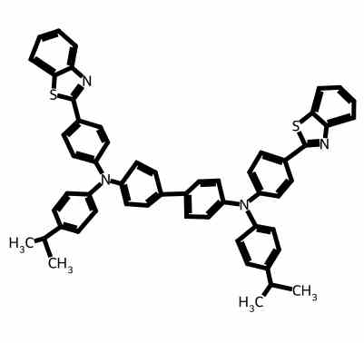 CC(C)c1ccc(N(c2ccc(-c3ccc(N(c4ccc(-c5nc6ccccc6s5)cc4)c4ccc(C(C)C)cc4)cc3)cc2)c2ccc(-c3nc4ccccc4s3)cc2)cc1